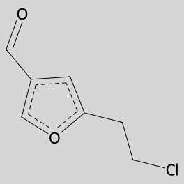 O=Cc1coc(CCCl)c1